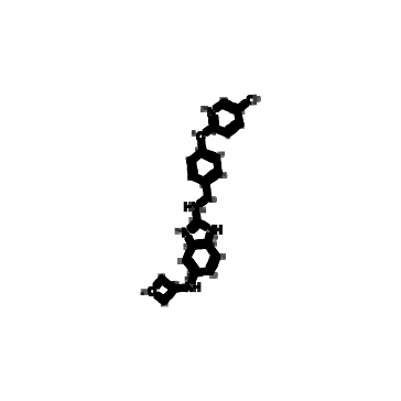 Clc1ccc(Oc2ccc(CNc3nc4cc(NC5COC5)ccc4[nH]3)cc2)nc1